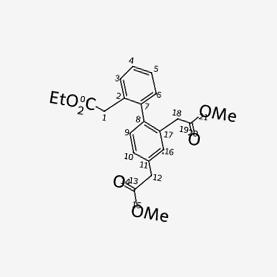 CCOC(=O)Cc1ccccc1-c1ccc(CC(=O)OC)[c]c1CC(=O)OC